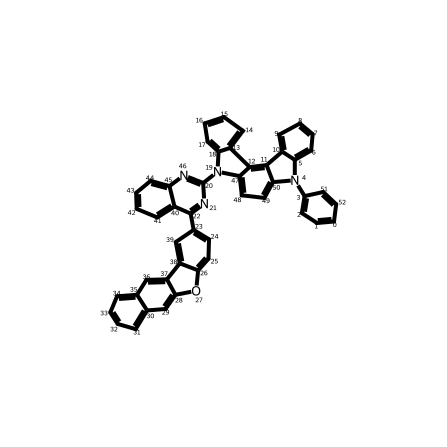 c1ccc(-n2c3ccccc3c3c4c5ccccc5n(-c5nc(-c6ccc7oc8cc9ccccc9cc8c7c6)c6ccccc6n5)c4ccc32)cc1